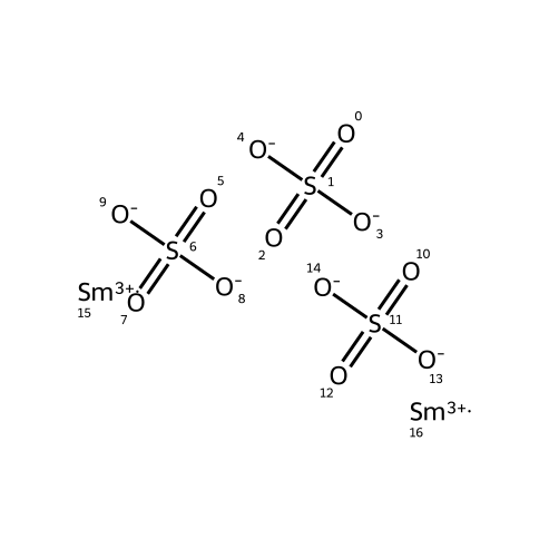 O=S(=O)([O-])[O-].O=S(=O)([O-])[O-].O=S(=O)([O-])[O-].[Sm+3].[Sm+3]